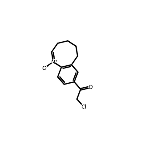 O=C(CCl)c1ccc2c(c1)CCCCC=[N+]2[O-]